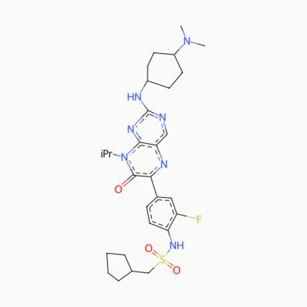 CC(C)n1c(=O)c(-c2ccc(NS(=O)(=O)CC3CCCC3)c(F)c2)nc2cnc(NC3CCC(N(C)C)CC3)nc21